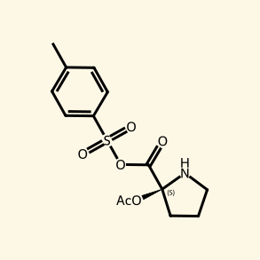 CC(=O)O[C@]1(C(=O)OS(=O)(=O)c2ccc(C)cc2)CCCN1